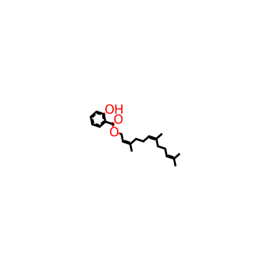 CC(C)=CCCC(C)=CCCC(C)=CCOC(=O)c1ccccc1O